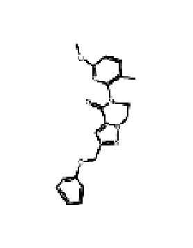 COc1ccc(C)c(N2CCn3nc(COc4ccccc4)cc3C2=O)n1